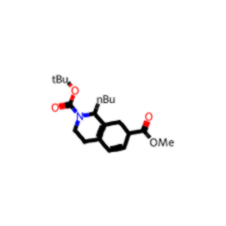 CCCCC1C2=C(C=CC(C(=O)OC)C2)CCN1C(=O)OC(C)(C)C